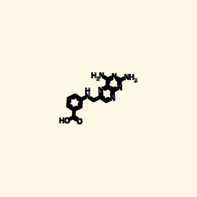 Nc1nc(N)c2nc(CNc3cccc(C(=O)O)c3)cnc2n1